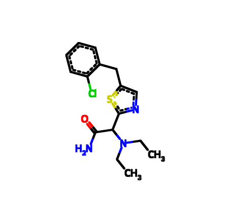 CCN(CC)C(C(N)=O)c1ncc(Cc2ccccc2Cl)s1